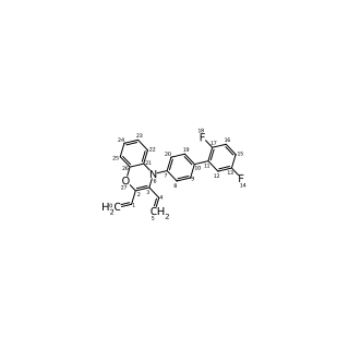 C=CC1=C(C=C)N(c2ccc(-c3cc(F)ccc3F)cc2)c2ccccc2O1